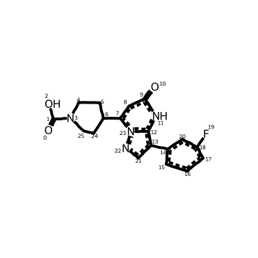 O=C(O)N1CCC(c2cc(=O)[nH]c3c(-c4cccc(F)c4)cnn23)CC1